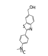 CN([11CH3])c1ccc(-c2nc3ccc(CO)cc3s2)cc1